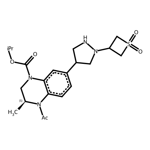 CC(=O)N1c2ccc(C3CNN(C4CS(=O)(=O)C4)C3)cc2N(C(=O)OC(C)C)C[C@@H]1C